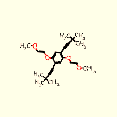 COCCOc1cc(C#CC(C)(C)C)c(OCCOC)cc1C#CC(C)(C)C